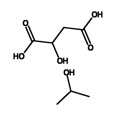 CC(C)O.O=C(O)CC(O)C(=O)O